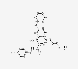 O=C(NCc1ccc(Cl)cc1)c1cn(COCCO)c2ccc(CN3CCOCC3)cc2c1=O